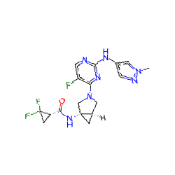 Cn1cc(Nc2ncc(F)c(N3C[C@H]4C[C@@]4(NC(=O)[C@@H]4CC4(F)F)C3)n2)cn1